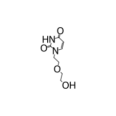 O=c1ccn(CCOCCO)c(=O)[nH]1